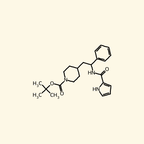 CC(C)(C)OC(=O)N1CCC(CC(NC(=O)c2ccc[nH]2)c2ccccc2)CC1